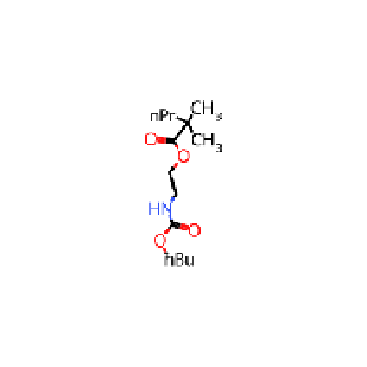 CCCCOC(=O)NCCOC(=O)C(C)(C)CCC